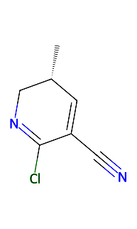 C[C@@H]1C=C(C#N)C(Cl)=NC1